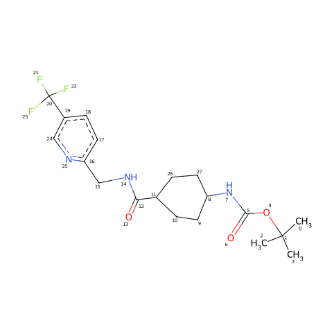 CC(C)(C)OC(=O)NC1CCC(C(=O)NCc2ccc(C(F)(F)F)cn2)CC1